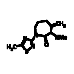 C=C1CCCN(c2nsc(C)n2)C(=O)C1NC